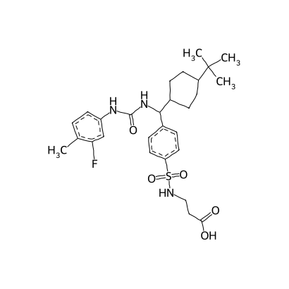 Cc1ccc(NC(=O)NC(c2ccc(S(=O)(=O)NCCC(=O)O)cc2)C2CCC(C(C)(C)C)CC2)cc1F